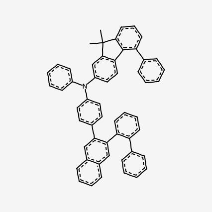 CC1(C)c2cc(N(c3ccccc3)c3ccc(-c4cc5ccccc5cc4-c4ccccc4-c4ccccc4)cc3)ccc2-c2c(-c3ccccc3)cccc21